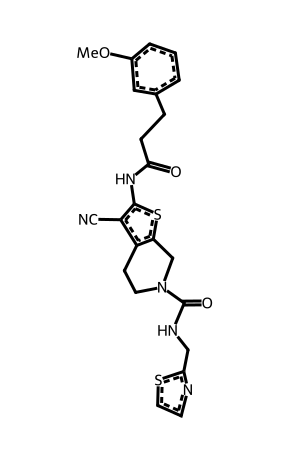 COc1cccc(CCC(=O)Nc2sc3c(c2C#N)CCN(C(=O)NCc2nccs2)C3)c1